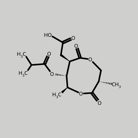 CC(C)C(=O)O[C@H]1[C@H](C)OC(=O)[C@@H](C)COC(=O)[C@@H]1CC(=O)O